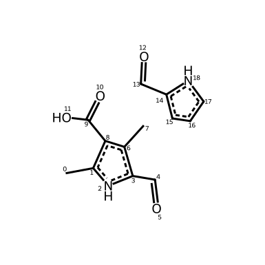 Cc1[nH]c(C=O)c(C)c1C(=O)O.O=Cc1ccc[nH]1